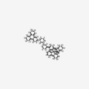 c1cc(-c2cccc(-c3ccc4c5ccccc5c5ccccc5c4c3)c2)cc(-c2ccc3c(c2)C2(c4ccccc4-c4ccccc42)c2nc4ccccc4n2-3)c1